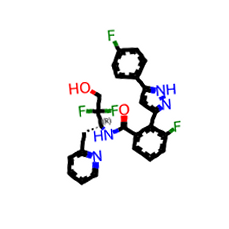 O=C(N[C@H](Cc1ccccn1)C(F)(F)CO)c1cccc(F)c1-c1cc(-c2ccc(F)cc2)[nH]n1